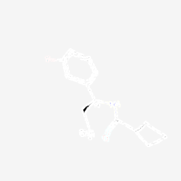 O=C(O)C[C@H](NC(=O)C1CCC1)c1cccc(F)c1